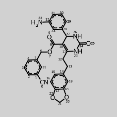 N#Cc1cccc(COC(=O)C2=C(CCc3ccc4c(c3)OCO4)NC(=O)NC2c2cccc(N)c2)c1